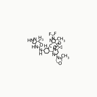 Cc1n[nH]cc1NC(=O)Nc1ccc(-c2nc(N3CCOC[C@@H]3C)cc(C3(S(=O)(=O)c4c(C)nn(C(F)F)c4C)CC3)n2)cc1